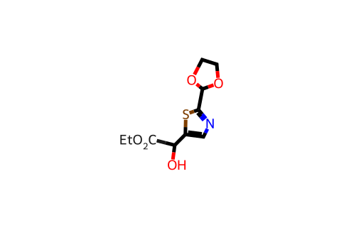 CCOC(=O)C(O)c1cnc(C2OCCO2)s1